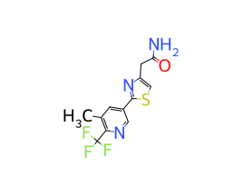 Cc1cc(-c2nc(CC(N)=O)cs2)cnc1C(F)(F)F